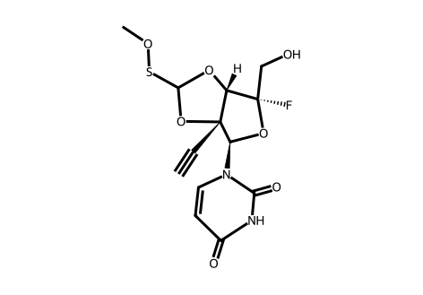 C#C[C@@]12OC(SOC)O[C@@H]1[C@@](F)(CO)O[C@H]2n1ccc(=O)[nH]c1=O